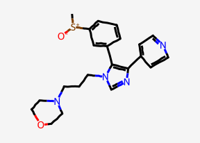 C[S+]([O-])c1cccc(-c2c(-c3ccncc3)ncn2CCCN2CCOCC2)c1